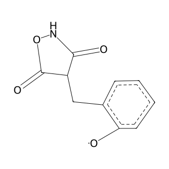 [O]c1ccccc1CC1C(=O)NOC1=O